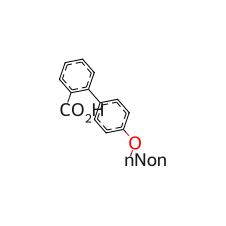 CCCCCCCCCOc1ccc(-c2ccccc2C(=O)O)cc1